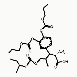 CCCOC(=O)Oc1ccc(C(C(C)COC(=O)OC(C)CC)[C@H](N)C(=O)O)cc1OC(=O)OCCC